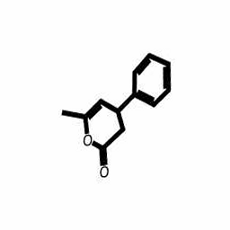 CC1=CC(c2ccccc2)CC(=O)O1